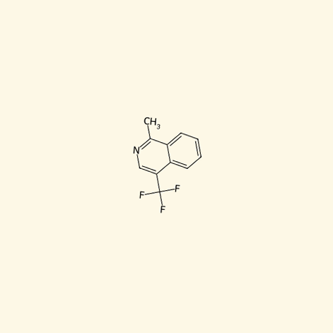 Cc1ncc(C(F)(F)F)c2ccccc12